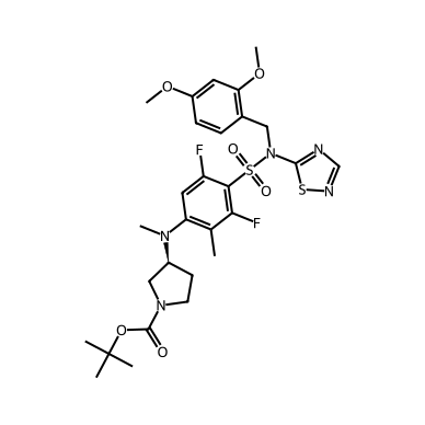 COc1ccc(CN(c2ncns2)S(=O)(=O)c2c(F)cc(N(C)[C@H]3CCN(C(=O)OC(C)(C)C)C3)c(C)c2F)c(OC)c1